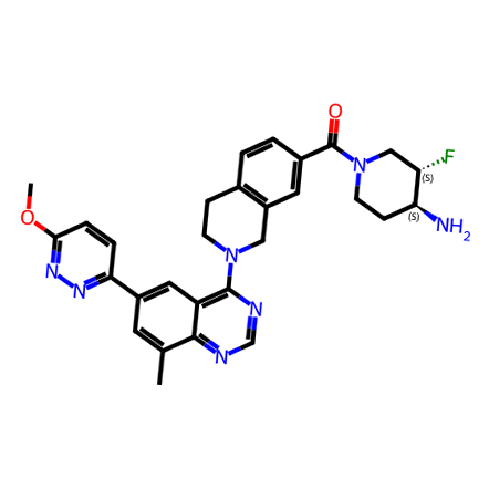 COc1ccc(-c2cc(C)c3ncnc(N4CCc5ccc(C(=O)N6CC[C@H](N)[C@@H](F)C6)cc5C4)c3c2)nn1